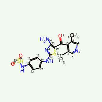 Cc1cncc(C)c1C(=O)c1sc(Nc2ccc(N[SH](=O)=O)cc2)nc1N